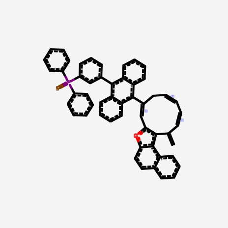 C=C1/C=C\C=C/C/C(c2c3ccccc3c(-c3cccc(P(=S)(c4ccccc4)c4ccccc4)c3)c3ccccc23)=C\c2oc3ccc4ccccc4c3c21